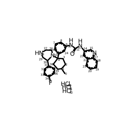 CC1CCC(c2cccc(NC(=O)Nc3cnc4ccccc4c3)c2)(N2CCNCC2c2ccc(F)cc2)CC1.Cl.Cl.Cl